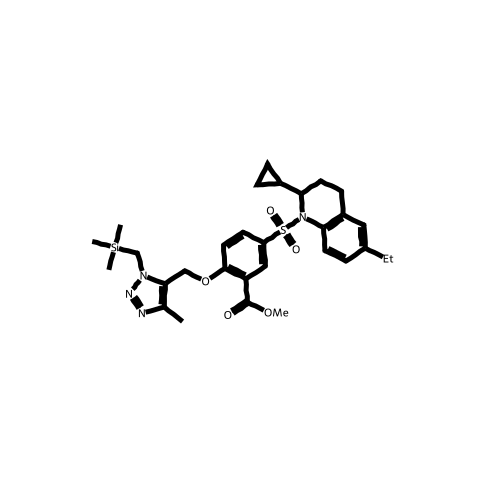 CCc1ccc2c(c1)CCC(C1CC1)N2S(=O)(=O)c1ccc(OCc2c(C)nnn2C[Si](C)(C)C)c(C(=O)OC)c1